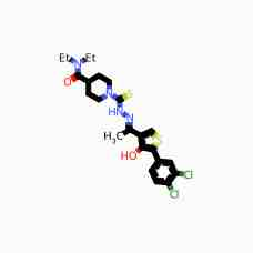 CCN(CC)C(=O)C1CCN(C(=S)N/N=C(\C)c2csc(-c3ccc(Cl)c(Cl)c3)c2O)CC1